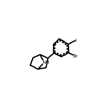 Brc1cc(C2CC3CCC2N3)ccc1I